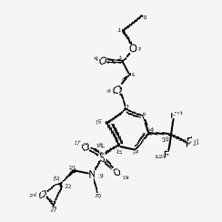 CCOC(=O)COc1cc(C(F)(F)F)cc(S(=O)(=O)N(C)C[C@H]2CO2)c1